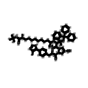 Cc1ncsc1-c1ccc(CNC(=O)[C@@H]2C[C@@H](O)CN2C(=O)[C@@H](NC(O)CCCCCCCCNC(=O)OC(C)(C)C)C(C)(C)SC(c2ccccc2)(c2ccccc2)c2ccccc2)cc1